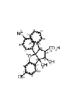 N#Cc1ccc(C23Oc4cc(Cl)cnc4C2(O)C(O)C(C(=O)O)C3c2ccccc2)cc1